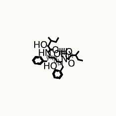 CCC(C)C(O)C(=O)N[C@@H](Cc1ccccc1)[C@H](O)[C@@H](O)[C@H](Cc1ccccc1)NC(=O)[C@@H](O)C(C)CC